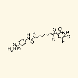 NS(=O)(=O)c1ccc(NC(=O)NCCCCCCNC(=O)n2cc(F)c(=O)[nH]c2=O)cc1